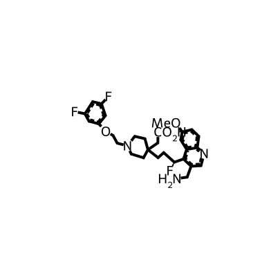 COc1ccc2ncc(CN)c([C@H](F)CCC3(CC(=O)O)CCN(CCOc4cc(F)cc(F)c4)CC3)c2c1